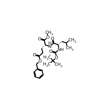 COC(=O)[C@@H](CCC(=O)OCc1ccccc1)NC(=O)[C@H](CC(C)C)NC(=O)OC(C)(C)C